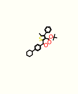 Cc1sc(C(=O)c2ccc(C3CCCCC3)cc2)c(C(=O)OC(C)(C)C)c1-c1ccccc1